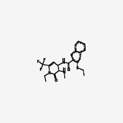 CCSc1cc2ccccc2cc1C(=O)NC1C=C(C(F)(F)F)N(CC)C(=O)C1NC